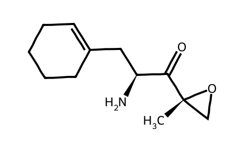 C[C@]1(C(=O)[C@@H](N)CC2=CCCCC2)CO1